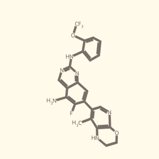 Cc1c(-c2cc3nc(Nc4ccccc4OC(F)(F)F)ncc3c(N)c2F)cnc2c1NCCO2